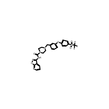 O=C(Nc1noc2ncccc12)N1CCN(Cc2cccc(Oc3ccc(S(=O)(=O)C(F)(F)F)cc3)c2)CC1